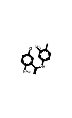 C=C(Nc1ccc(C)c(N)c1)c1cc(Cl)ccc1NC